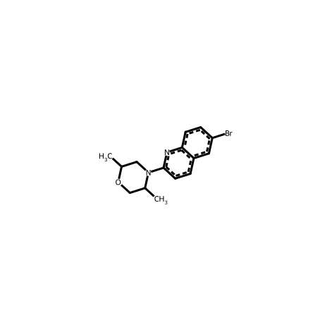 CC1CN(c2ccc3cc(Br)ccc3n2)C(C)CO1